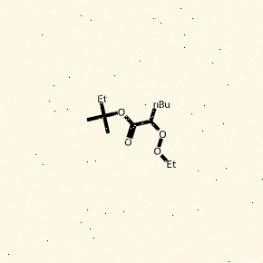 CCCCC(OOCC)C(=O)OC(C)(C)CC